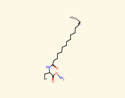 CCCCCCCC/C=C\CCCCCCCCCCCC(=O)NC(CC(C)C)C(=O)ON